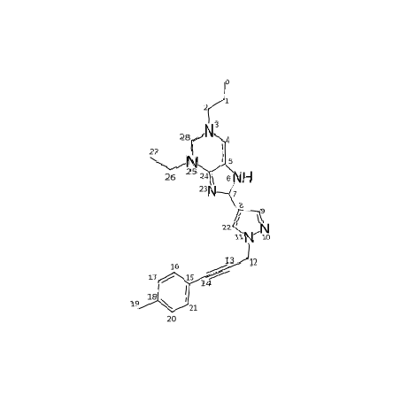 CCCN1C=C2NC(c3cnn(CC#Cc4ccc(C)cc4)c3)N=C2N(CC)C1